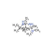 CN(C)[Si](C)(C)N[Si](C)(C)N[Si](C)(C)C